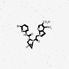 Nc1c(C(=O)O)cnc2c1ccn2CC(=O)N1C2C[C@@H]2C[C@H]1C(=O)Nc1cccc(Br)n1